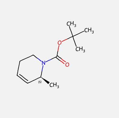 C[C@H]1C=CCCN1C(=O)OC(C)(C)C